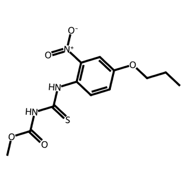 CCCOc1ccc(NC(=S)NC(=O)OC)c([N+](=O)[O-])c1